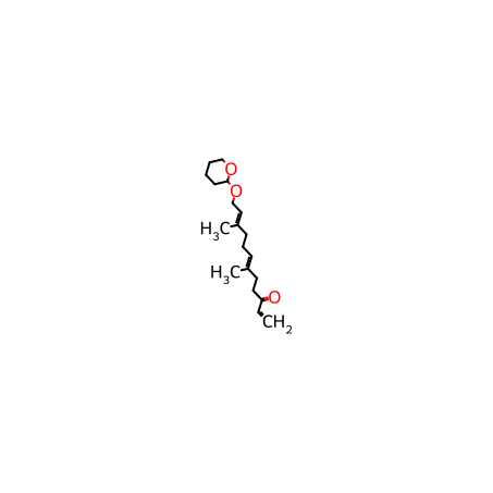 C=CC(=O)CC/C(C)=C/CC/C(C)=C/COC1CCCCO1